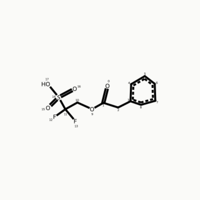 O=C(Cc1ccccc1)OCC(F)(F)S(=O)(=O)O